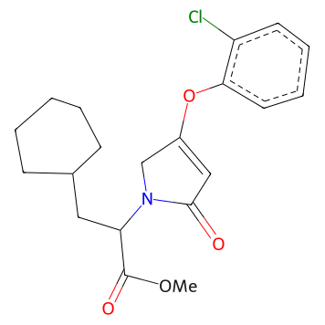 COC(=O)C(CC1CCCCC1)N1CC(Oc2ccccc2Cl)=CC1=O